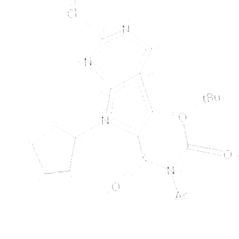 CC(=O)N(C(=O)OC(C)(C)C)C(=O)c1cc2cnc(Cl)nc2n1C1CCCC1